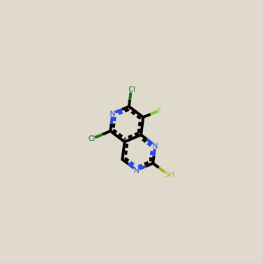 Fc1c(Cl)nc(Cl)c2cnc(S)nc12